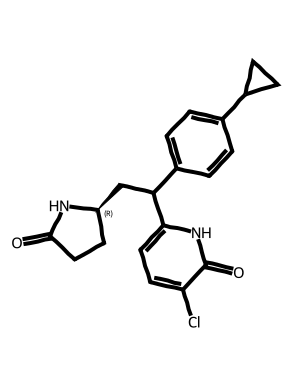 O=C1CC[C@H](CC(c2ccc(C3CC3)cc2)c2ccc(Cl)c(=O)[nH]2)N1